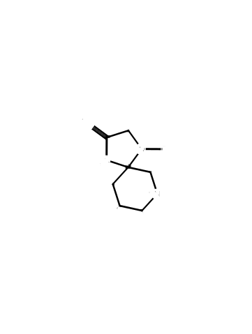 CCN1CC(=O)SC12CCCNC2